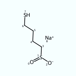 O=S([O-])CCCCS.[Na+]